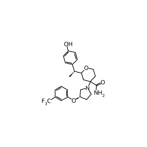 C[C@@H](c1ccc(O)cc1)C1CC(C(N)=O)(N2CC[C@@H](Oc3cccc(C(F)(F)F)c3)C2)CCO1